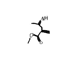 C=C(C(C)=N)C(=O)OC